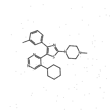 Cc1cccc(-c2nc(N3CCN(C)CC3)sc2-c2n[c]ncc2C2CCCCC2)c1